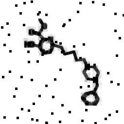 COC(=O)c1nc(CCCCCN2CCN(Cc3ccccc3)CC2)ccc1O